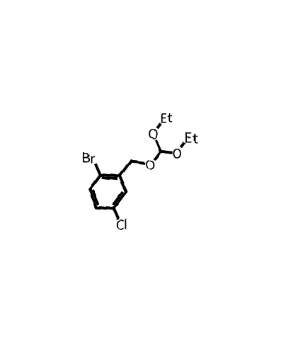 CCOC(OCC)OCc1cc(Cl)ccc1Br